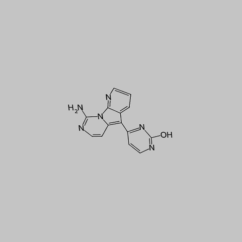 Nc1nccc2c(-c3ccnc(O)n3)c3cccnc3n12